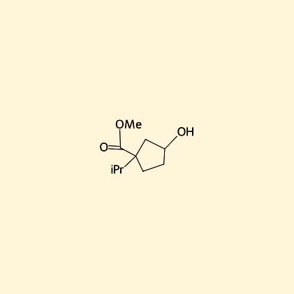 COC(=O)C1(C(C)C)CCC(O)C1